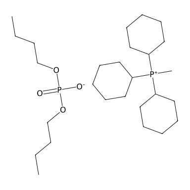 CCCCOP(=O)([O-])OCCCC.C[P+](C1CCCCC1)(C1CCCCC1)C1CCCCC1